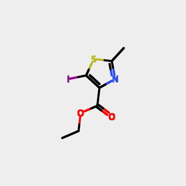 CCOC(=O)c1nc(C)sc1I